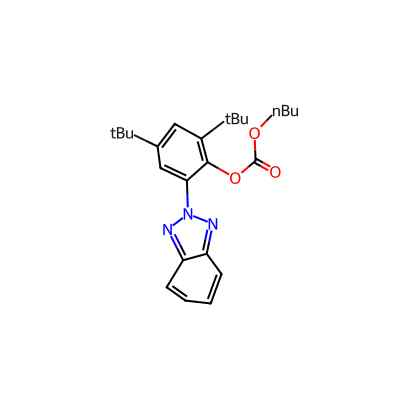 CCCCOC(=O)Oc1c(-n2nc3ccccc3n2)cc(C(C)(C)C)cc1C(C)(C)C